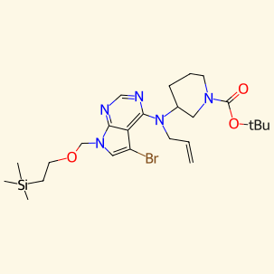 C=CCN(c1ncnc2c1c(Br)cn2COCC[Si](C)(C)C)C1CCCN(C(=O)OC(C)(C)C)C1